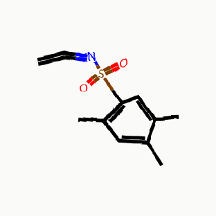 C=C=NS(=O)(=O)c1cc(C)c(C)cc1C